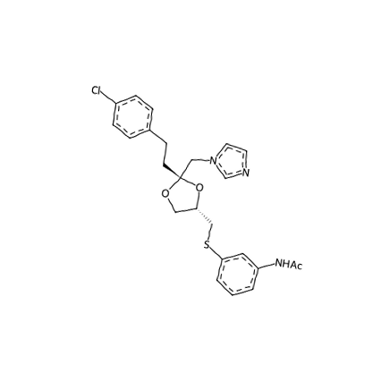 CC(=O)Nc1cccc(SC[C@@H]2CO[C@](CCc3ccc(Cl)cc3)(Cn3ccnc3)O2)c1